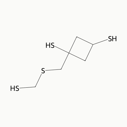 SCSCC1(S)CC(S)C1